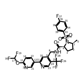 C[C@H]1CC[C@@H](C(=O)NCc2cc(-c3ccc(OC(F)F)nc3)ncc2C(F)(F)F)N1S(=O)(=O)c1ccc(F)cc1